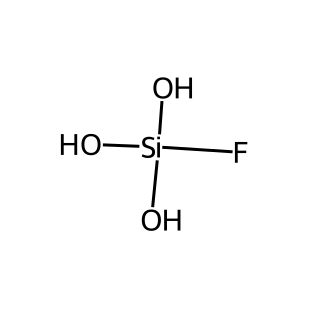 O[Si](O)(O)F